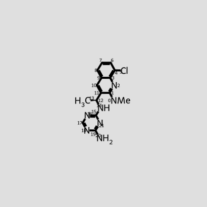 CNc1nc2c(Cl)cccc2cc1[C@H](C)Nc1ncnc(N)n1